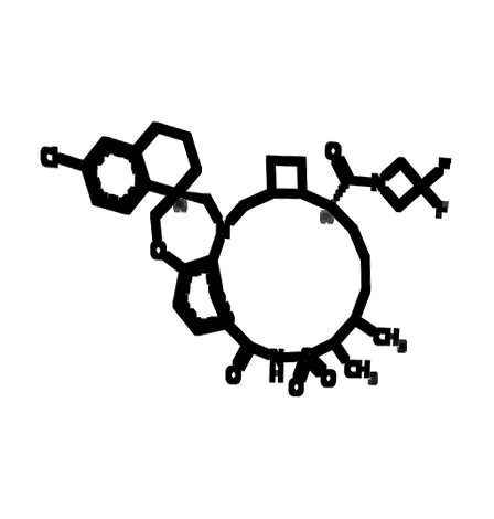 CC1CCC[C@@H](C(=O)N2CC(F)(F)C2)C2CCC2CN2C[C@@]3(CCCc4cc(Cl)ccc43)COc3ccc(cc32)C(=O)NS(=O)(=O)C1C